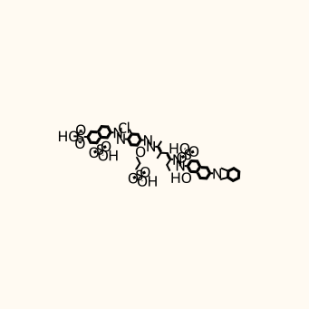 CC/C(=C\C(C)=C(/C)N=Nc1cc(Cl)c(N=Nc2ccc3cc(S(=O)(=O)O)cc(S(=O)(=O)O)c3c2)cc1OCCCS(=O)(=O)O)N=Nc1c(S(=O)(=O)O)cc2cc(N3Cc4ccccc4C3)ccc2c1O